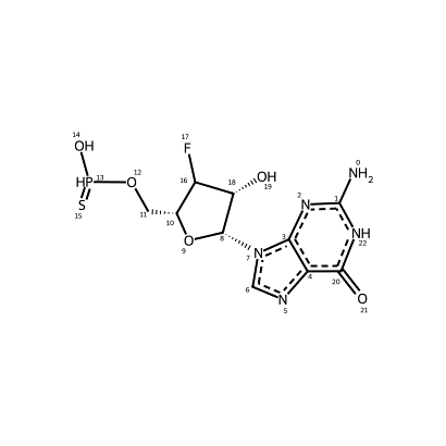 Nc1nc2c(ncn2[C@@H]2O[C@H](CO[PH](O)=S)C(F)[C@@H]2O)c(=O)[nH]1